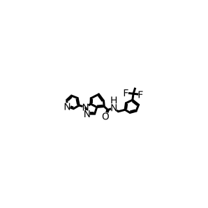 CC(F)(F)c1cccc(CNC(=O)c2cccc3c2cnn3-c2cccnc2)c1